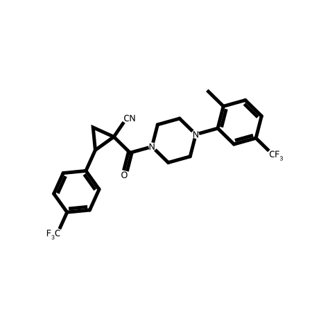 Cc1ccc(C(F)(F)F)cc1N1CCN(C(=O)C2(C#N)CC2c2ccc(C(F)(F)F)cc2)CC1